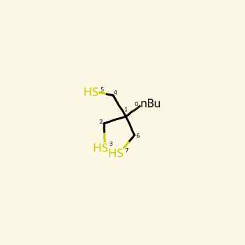 CCCCC(CS)(CS)CS